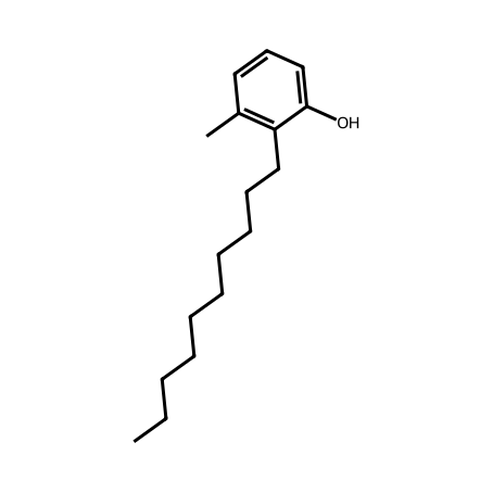 CCCCCCCCCCc1c(C)cccc1O